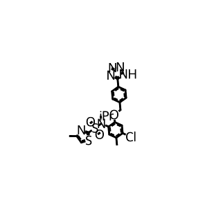 Cc1csc(S(=O)(=O)N(c2cc(C)c(Cl)cc2OCc2ccc(-c3nnn[nH]3)cc2)C(C)C)n1